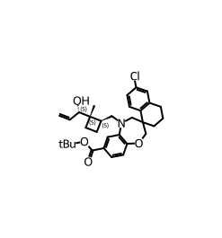 C=C[C@H](O)[C@@]1(C)CC[C@@H]1CN1CC2(CCCc3cc(Cl)ccc32)COc2ccc(C(=O)OC(C)(C)C)cc21